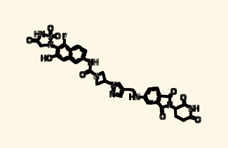 O=C1CCC(N2C(=O)c3ccc(NCc4cnn(C5CN(C(=O)Nc6ccc7c(F)c(N8CC(=O)NS8(=O)=O)c(O)cc7c6)C5)c4)cc3C2=O)C(=O)N1